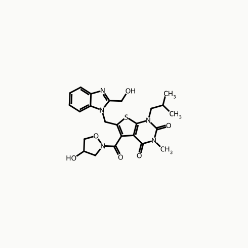 CC(C)Cn1c(=O)n(C)c(=O)c2c(C(=O)N3CC(O)CO3)c(Cn3c(CO)nc4ccccc43)sc21